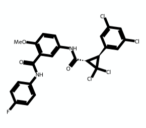 COc1ccc(NC(=O)[C@@H]2[C@@H](c3cc(Cl)cc(Cl)c3)C2(Cl)Cl)cc1C(=O)Nc1ccc(F)cc1